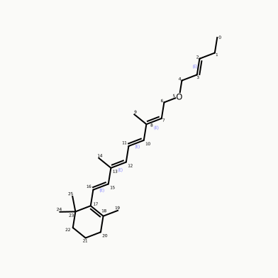 CC/C=C/COC/C=C(C)/C=C/C=C(C)/C=C/C1=C(C)CCCC1(C)C